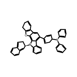 C1=Cc2c(oc3c2cc(C2=CCC(N(c4ccccc4)c4ccccc4)C=C2)c2c4ccccc4n([C@H]4C=c5ccccc5=CC4)c32)CC1